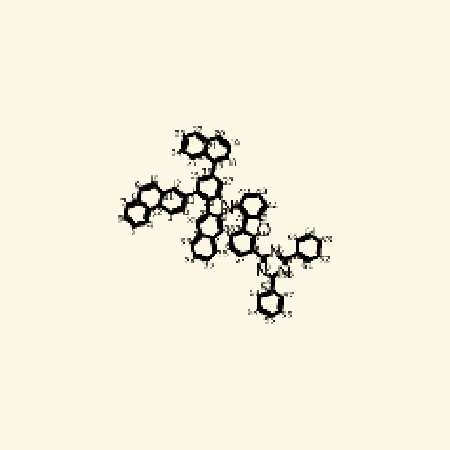 C1=CC2c3ccccc3C=CC2C=C1c1cc(-c2cccc3ccccc23)cc2c1c1cc3ccccc3cc1n2-c1cccc2oc3c(-c4nc(-c5ccccc5)nc(-c5ccccc5)n4)cccc3c12